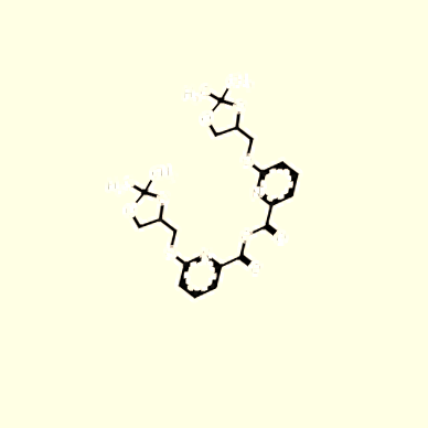 CC1(C)OCC(COc2cccc(C(=O)OC(=O)c3cccc(OCC4COC(C)(C)O4)n3)n2)O1